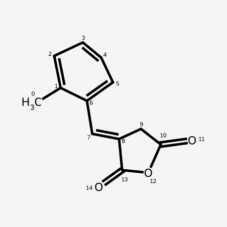 Cc1ccccc1C=C1CC(=O)OC1=O